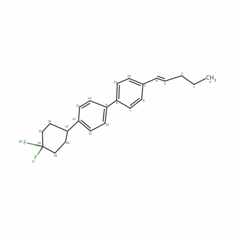 CCCC=Cc1ccc(-c2ccc(C3CCC(F)(F)CC3)cc2)cc1